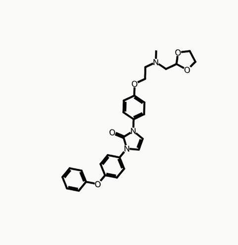 CN(CCOc1ccc(-n2ccn(-c3ccc(Oc4ccccc4)cc3)c2=O)cc1)CC1OCCO1